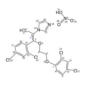 C/C(=C(/OCCOc1ccc(Cl)cc1Cl)c1ccc(Cl)cc1Cl)n1ccnc1.O=[N+]([O-])O